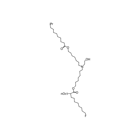 CCCCCCCCC(CCCCCCCCF)C(=O)OCCCCCCCN(CCO)CCCCCCCOC(=O)CCCCCCCCC(C)C